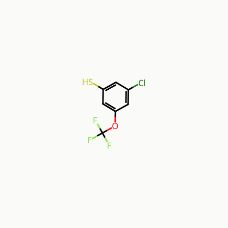 FC(F)(F)Oc1cc(S)cc(Cl)c1